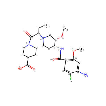 CCC(C(=O)N1CCC(C(=O)O)CC1)N1CC[C@@H](NC(=O)c2cc(Cl)c(N)cc2OC)[C@@H](OC)C1